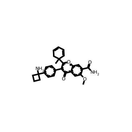 COc1cc2c(=O)c(-c3ccc(C4(N)CCC4)cc3)c(C3(C)C=CC=CC3)oc2cc1C(N)=O